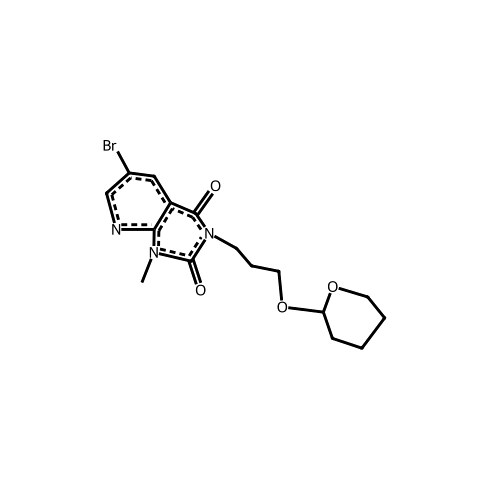 Cn1c(=O)n(CCCOC2CCCCO2)c(=O)c2cc(Br)cnc21